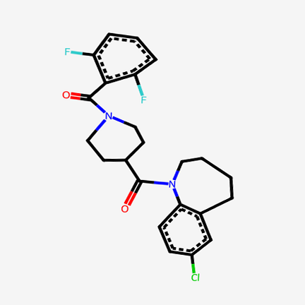 O=C(c1c(F)cccc1F)N1CCC(C(=O)N2CCCCc3cc(Cl)ccc32)CC1